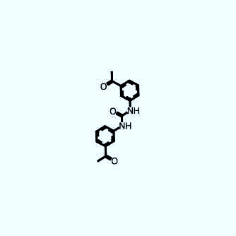 CC(=O)c1cccc(NC(=O)Nc2cccc(C(C)=O)c2)c1